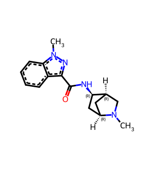 CN1C[C@H]2C[C@@H]1C[C@H]2NC(=O)c1nn(C)c2ccccc12